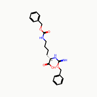 N=C(N[C@@H](CCCCNC(=O)OCc1ccccc1)C(=O)O)OCc1ccccc1